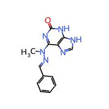 CN(N=Cc1ccccc1)c1nc(=O)[nH]c2[nH]cnc12